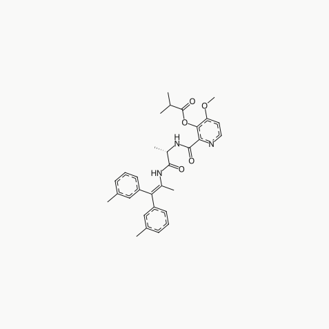 COc1ccnc(C(=O)N[C@@H](C)C(=O)NC(C)=C(c2cccc(C)c2)c2cccc(C)c2)c1OC(=O)C(C)C